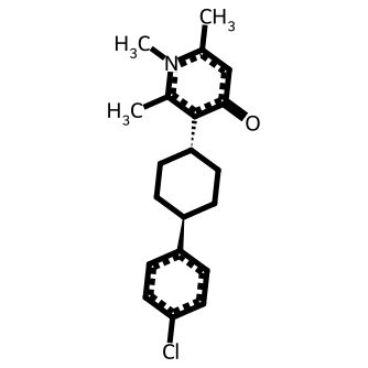 Cc1cc(=O)c([C@H]2CC[C@H](c3ccc(Cl)cc3)CC2)c(C)n1C